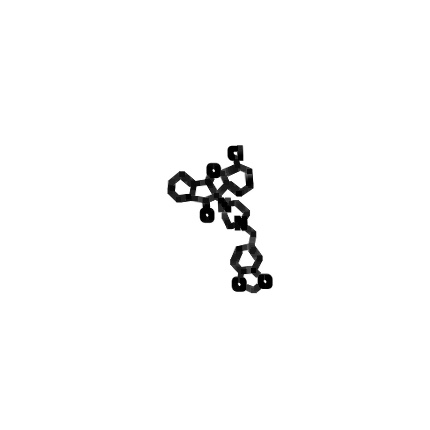 O=C1c2ccccc2C(=O)C1(c1cccc(Cl)c1)N1CCN(Cc2ccc3c(c2)OCO3)CC1